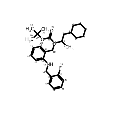 CC(CC1CCCCC1)N(Cc1ccccc1NCc1ccccc1F)C(=O)OC(C)(C)C